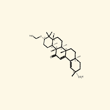 CC1(C)[C@@H](OCO)CC[C@]2(C)[C@H]3C(=O)C=C4C5=C[C@@](C)(C(=O)O)CC[C@]5(C)CC[C@@]4(C)[C@]3(C)CC[C@@H]12